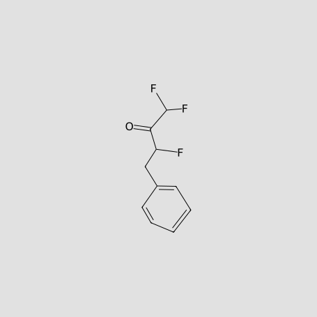 O=C(C(F)F)C(F)Cc1ccccc1